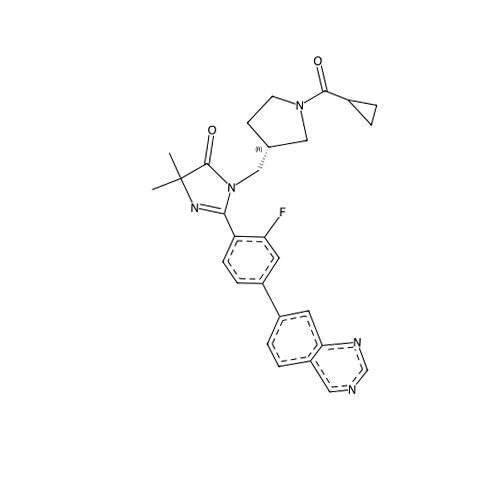 CC1(C)N=C(c2ccc(-c3ccc4cncnc4c3)cc2F)N(C[C@@H]2CCN(C(=O)C3CC3)C2)C1=O